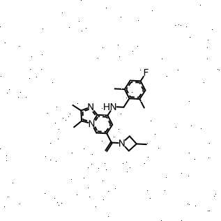 C=C(c1cc(NCc2c(C)cc(F)cc2C)c2nc(C)c(C)n2c1)N1CC(C)C1